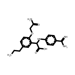 CCCc1ccc(OCC(N)=O)c(C(Nc2ccc(C(=N)N)cc2)C(=O)O)c1